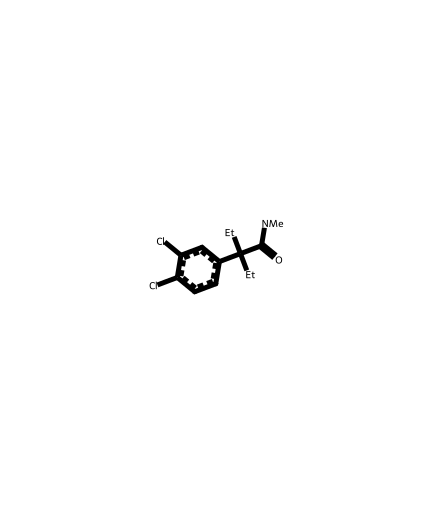 CCC(CC)(C(=O)NC)c1ccc(Cl)c(Cl)c1